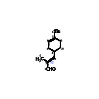 C/C(C=O)=C\C1CC=C(C(C)(C)C)CC1